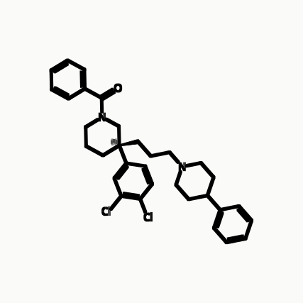 O=C(c1ccccc1)N1CCC[C@@](CCCN2CCC(c3ccccc3)CC2)(c2ccc(Cl)c(Cl)c2)C1